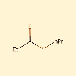 CCCSC([S])CC